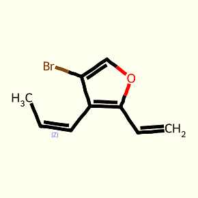 C=Cc1occ(Br)c1/C=C\C